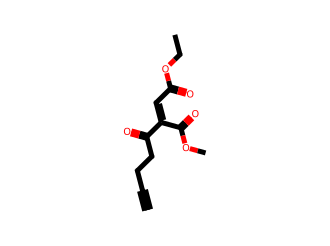 C#CCCC(=O)/C(=C/C(=O)OCC)C(=O)OC